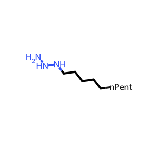 CCCCCCCCCCNNN